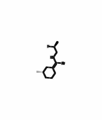 CC(C)/C(NC[C@H](C)F)=C1\CCC[C@H](C)C1